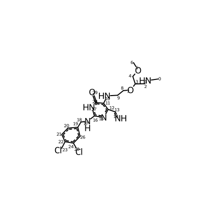 CNCC(COC)OCCNc1c(C=N)nc(NCc2ccc(Cl)c(Cl)c2)[nH]c1=O